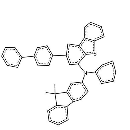 CC1(C)c2ccccc2-c2ccc(N(c3ccccc3)c3cc(-c4ccc(-c5ccccc5)cc4)cc4c3sc3ccccc34)cc21